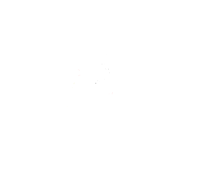 CS/C(=C/c1ccc(C)cc1OCc1ccccc1)[S+](C)[O-]